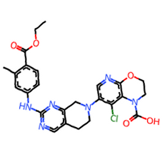 CCOC(=O)c1ccc(Nc2ncc3c(n2)CN(c2cnc4c(c2Cl)N(C(=O)O)CCO4)CC3)cc1C